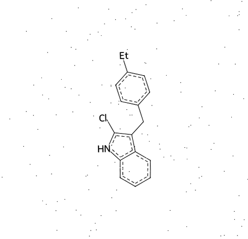 CCc1ccc(Cc2c(Cl)[nH]c3ccccc23)cc1